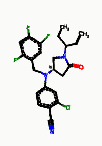 CCC(CC)N1C[C@@H](N(Cc2cc(F)c(F)cc2F)c2ccc(C#N)c(Cl)c2)CC1=O